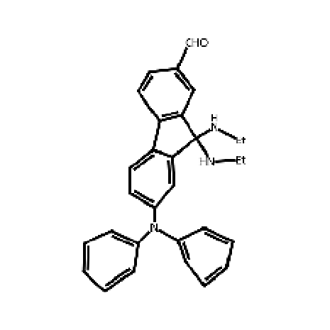 CCNC1(NCC)c2cc(C=O)ccc2-c2ccc(N(c3ccccc3)c3ccccc3)cc21